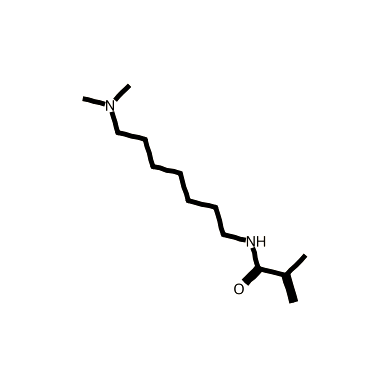 C=C(C)C(=O)NCCCCCCCN(C)C